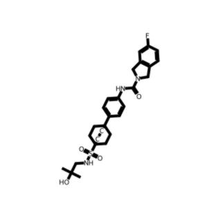 CC(C)(O)CNS(=O)(=O)C12CCC(c3ccc(NC(=O)N4Cc5ccc(F)cc5C4)cc3)(CC1)CC2